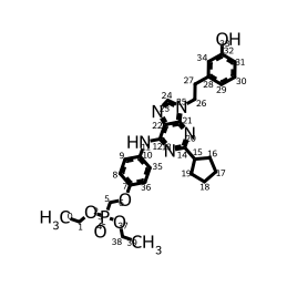 CCOP(=O)(COc1ccc(Nc2nc(C3CCCC3)nc3c2ncn3CCc2cccc(O)c2)cc1)OCC